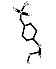 COS(=O)(=O)CC1CCC(NC(=O)OC(C)(C)C)CC1